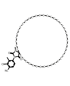 Cc1c(N2C(=O)N(C)C3(CCCCCCCCCCCCCCCCCCCCCCCCCCCCCCCCCCCCCCCCC3)C2=O)ccc(C#N)c1Cl